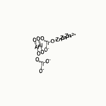 [O]=[Al][O-].[O]=[Al][O-].[O]=[Ti]([O-])[O-].[O]=[Ti]([O-])[O-].[Zn+2].[Zn+2].[Zn+2]